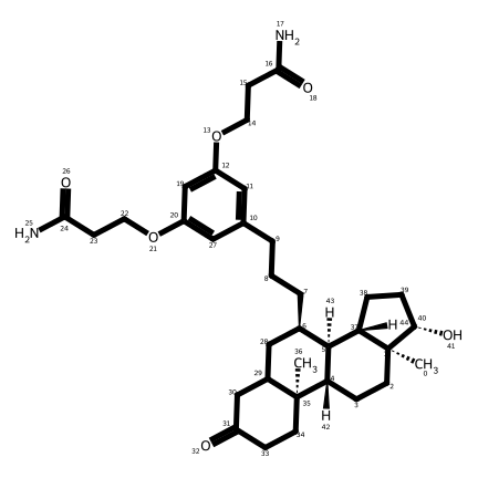 C[C@]12CC[C@H]3[C@@H]([C@H](CCCc4cc(OCCC(N)=O)cc(OCCC(N)=O)c4)CC4CC(=O)CC[C@@]43C)[C@@H]1CC[C@@H]2O